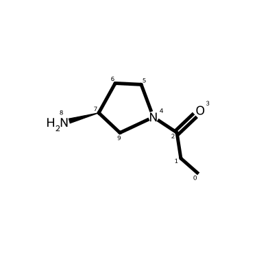 CCC(=O)N1CC[C@H](N)C1